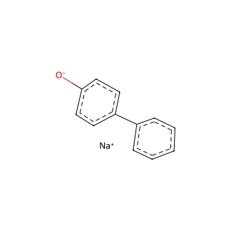 [Na+].[O-]c1ccc(-c2ccccc2)cc1